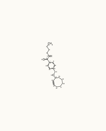 CCCCNC(=O)c1ccc(COC2C#CCCCCC2)cc1